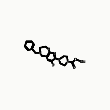 CC(C)(C)OC(=O)N1CCN(c2nc3c(cc2F)CN(Cc2ccccc2)CCO3)CC1